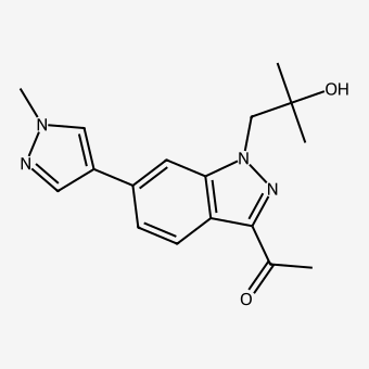 CC(=O)c1nn(CC(C)(C)O)c2cc(-c3cnn(C)c3)ccc12